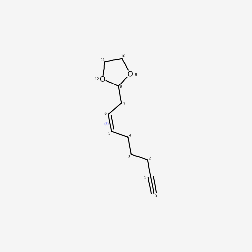 C#CCCC/C=C\CC1OCCO1